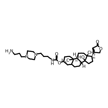 CC12CCC(OC(=O)NCCCN3CCN(CCCN)CC3)CC1CC[C@@H]1[C@@H]2CCC2(C)[C@@H](C3=CC(=O)OC3)CCC12O